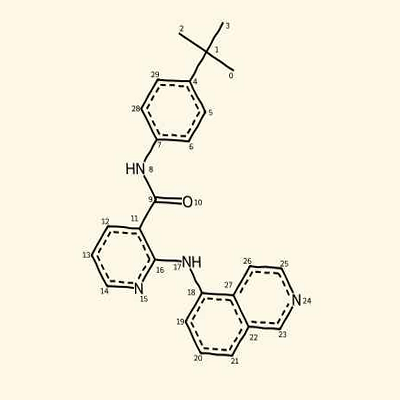 CC(C)(C)c1ccc(NC(=O)c2cccnc2Nc2cccc3cnccc23)cc1